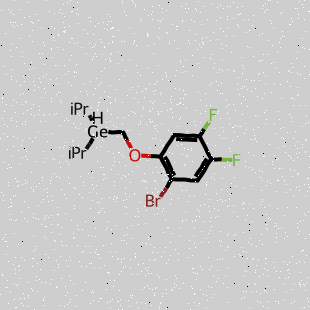 C[CH](C)[GeH]([CH2]Oc1cc(F)c(F)cc1Br)[CH](C)C